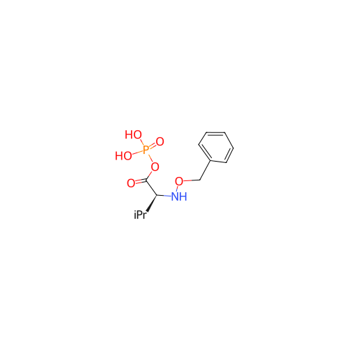 CC(C)[C@H](NOCc1ccccc1)C(=O)OP(=O)(O)O